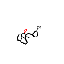 CC1(Cc2cccc(C#N)c2)C(=O)c2cccc3cccc1c23